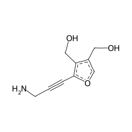 NCC#Cc1occ(CO)c1CO